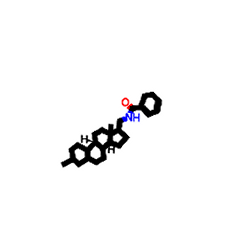 CC1CCC2C(CCC3[C@@H]2CCC2(C)C(CNC(=O)C4=CC=CCC4)CC[C@@H]32)C1